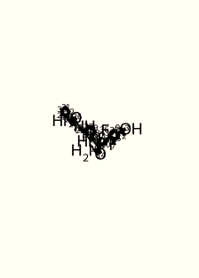 CC(C)(O)c1cc(F)c(-c2cc(C(N)=O)c(Nc3cccc(CNCC(=O)NC4CCCC4)n3)s2)c(F)c1